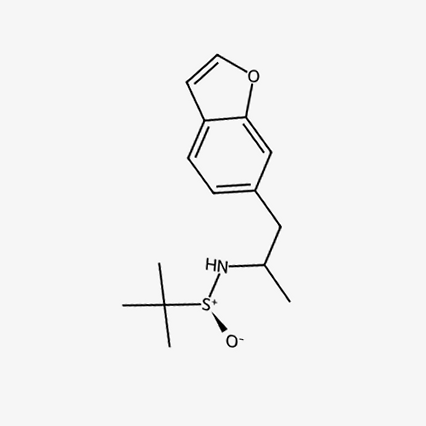 CC(Cc1ccc2ccoc2c1)N[S@@+]([O-])C(C)(C)C